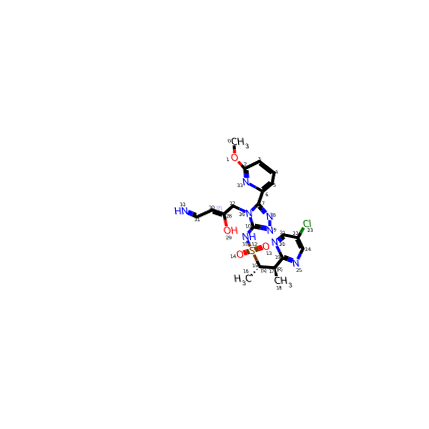 COc1cccc(-c2nnc(NS(=O)(=O)[C@@H](C)[C@H](C)c3ncc(Cl)cn3)n2C/C(O)=C/C=N)n1